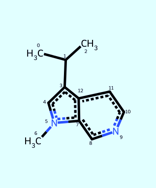 CC(C)c1cn(C)c2cnccc12